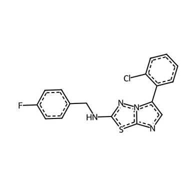 Fc1ccc(CNc2nn3c(-c4ccccc4Cl)cnc3s2)cc1